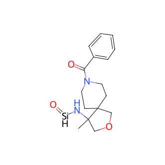 CC1(N[SiH]=O)COCC12CCN(C(=O)c1ccccc1)CC2